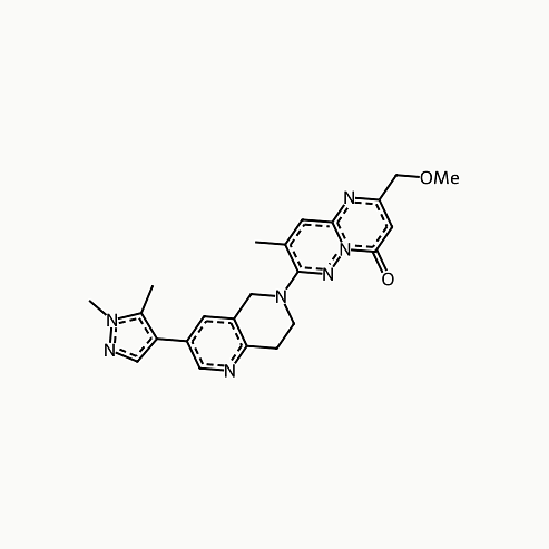 COCc1cc(=O)n2nc(N3CCc4ncc(-c5cnn(C)c5C)cc4C3)c(C)cc2n1